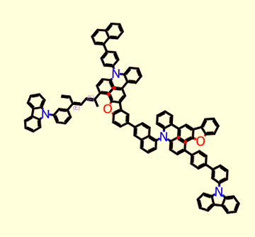 C=C/C(=C\C=C(/C)c1ccc(N(c2ccc(-c3cccc4ccccc34)cc2)c2ccccc2-c2ccc3oc4ccc(-c5ccc6c(N(c7ccc(-c8ccc(-c9cccc(-n%10c%11ccccc%11c%11ccccc%11%10)c9)cc8)cc7)c7ccccc7-c7ccc8oc9ccccc9c8c7)cccc6c5)cc4c3c2)cc1)c1cccc(-n2c3ccccc3c3ccccc32)c1